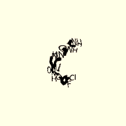 O=C(CNCc1nccc2c(=O)[nH]c(COc3ccc(F)c(Cl)c3)nc12)NC1CCNC1